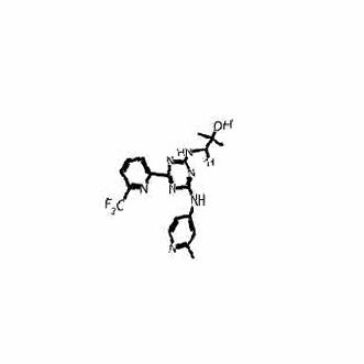 [2H]C(Nc1nc(Nc2ccnc(C)c2)nc(-c2cccc(C(F)(F)F)n2)n1)C(C)(C)O